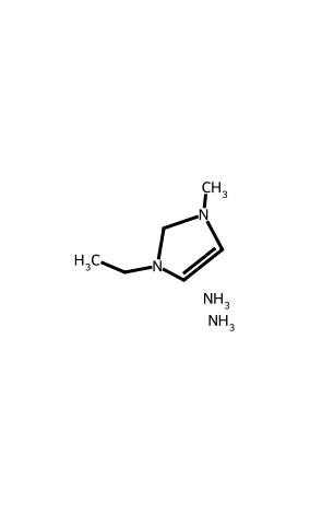 CCN1C=CN(C)C1.N.N